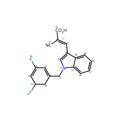 N#C/C(=C\c1cn(CC2=CC(F)=CC(F)C2)c2ccccc12)C(=O)O